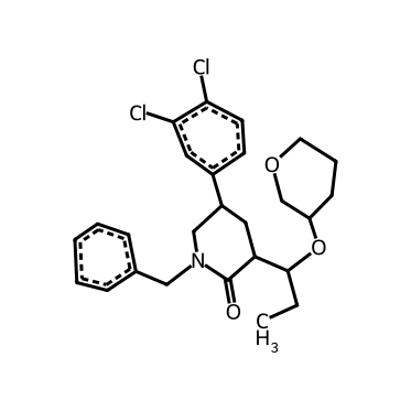 CCC(OC1CCCOC1)C1CC(c2ccc(Cl)c(Cl)c2)CN(Cc2ccccc2)C1=O